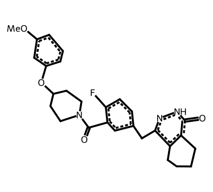 COc1cccc(OC2CCN(C(=O)c3cc(Cc4n[nH]c(=O)c5c4CCCC5)ccc3F)CC2)c1